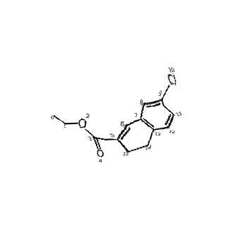 CCOC(=O)C1=Cc2cc(Cl)ccc2CC1